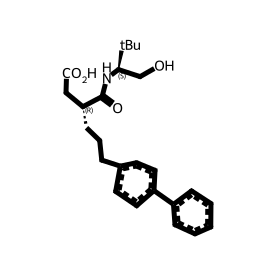 CC(C)(C)[C@@H](CO)NC(=O)[C@H](CCCc1ccc(-c2ccccc2)cc1)CC(=O)O